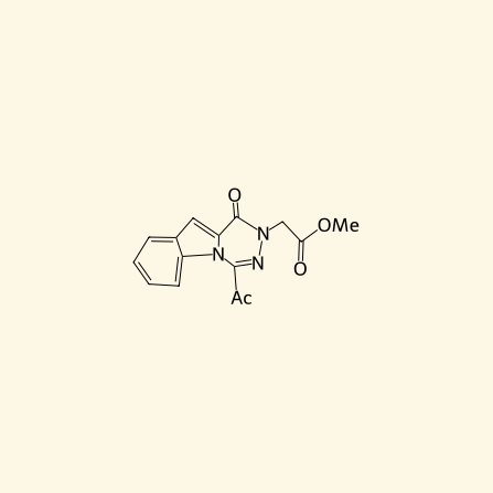 COC(=O)Cn1nc(C(C)=O)n2c(cc3ccccc32)c1=O